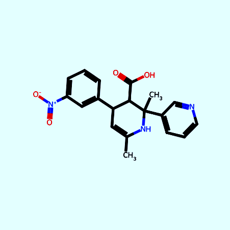 CC1=CC(c2cccc([N+](=O)[O-])c2)C(C(=O)O)C(C)(c2cccnc2)N1